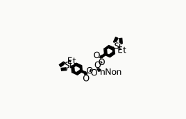 [CH2]CCCCCCCC[C](OOC(=O)c1ccc([Si](C=C)(C=C)CC)cc1)OOC(=O)c1ccc([Si](C=C)(C=C)CC)cc1